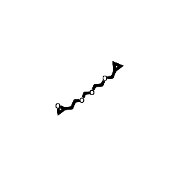 C(COCC1CC1)OCOCCC1CO1